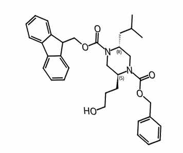 CC(C)C[C@@H]1CN(C(=O)OCc2ccccc2)[C@@H](CCCO)CN1C(=O)OCC1c2ccccc2-c2ccccc21